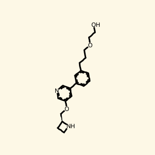 OCCOCCCc1cccc(-c2cncc(OC[C@@H]3CCN3)c2)c1